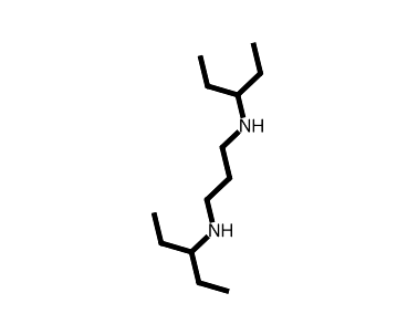 CCC(CC)NCCCNC(CC)CC